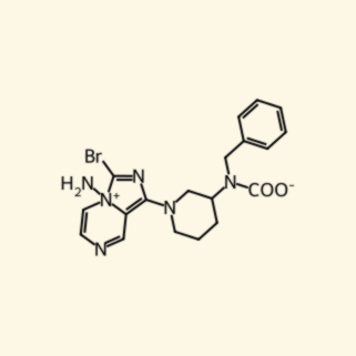 N[N+]12C=CN=CC1=C(N1CCCC(N(Cc3ccccc3)C(=O)[O-])C1)N=C2Br